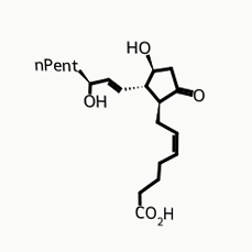 CCCCC[C@H](O)/C=C/[C@H]1[C@H](C/C=C\CCCC(=O)O)C(=O)C[C@@H]1O